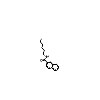 CCCCCCNC(=O)c1ccc2ccccc2c1